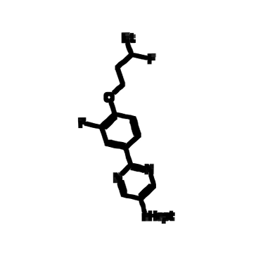 CCCCCCCc1cnc(-c2ccc(OCCC(F)CC)c(F)c2)nc1